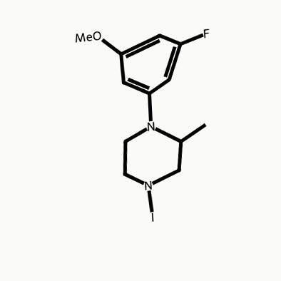 COc1cc(F)cc(N2CCN(I)CC2C)c1